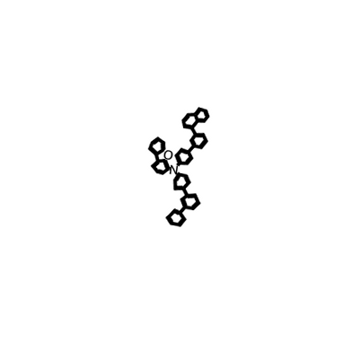 c1ccc(-c2cccc(-c3ccc(N(c4ccc(-c5cccc(-c6cccc7ccccc67)c5)cc4)c4cccc5c4oc4ccccc45)cc3)c2)cc1